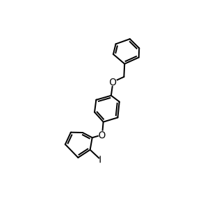 Ic1ccccc1Oc1ccc(OCc2ccccc2)cc1